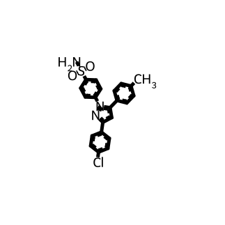 Cc1ccc(-c2cc(-c3ccc(Cl)cc3)nn2-c2ccc(S(N)(=O)=O)cc2)cc1